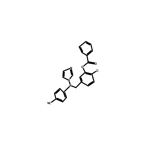 N#Cc1ccc(N(Cc2ccc(Cl)c(OC(=O)c3ccccc3)c2)n2ccnc2)cc1